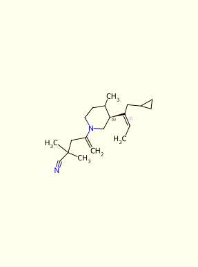 C=C(CC(C)(C)C#N)N1CCC(C)[C@@H](/C(=C\C)CC2CC2)C1